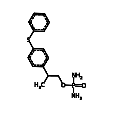 CC(COP(N)(N)=O)c1ccc(Sc2ccccc2)cc1